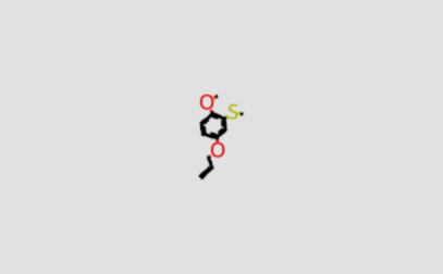 C=CCOc1ccc(OC)c(SC)c1